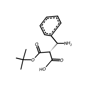 CC(C)(C)OC(=O)[C@@H](C(=O)O)C(N)c1ccccc1